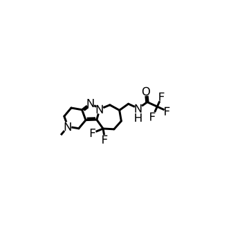 CN1CCc2nn3c(c2C1)C(F)(F)CCC(CNC(=O)C(F)(F)F)C3